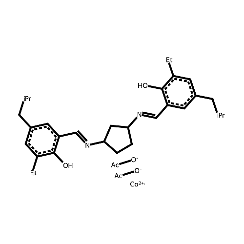 CC(=O)[O-].CC(=O)[O-].CCc1cc(CC(C)C)cc(C=NC2CCC(N=Cc3cc(CC(C)C)cc(CC)c3O)C2)c1O.[Co+2]